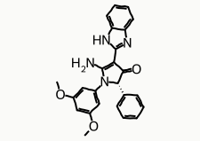 COc1cc(OC)cc(N2C(N)=C(c3nc4ccccc4[nH]3)C(=O)[C@@H]2c2ccccc2)c1